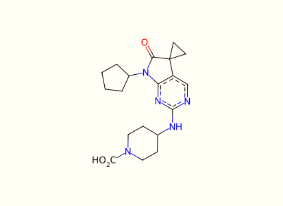 O=C(O)N1CCC(Nc2ncc3c(n2)N(C2CCCC2)C(=O)C32CC2)CC1